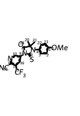 COc1ccc(N2C(=S)N(c3cnc(C#N)c(C(F)(F)F)c3)C(=O)C2(C)C)cc1